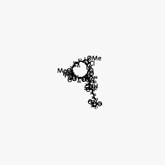 COc1cc2cc(c1Cl)N(C)C(=O)CC(OC(=O)[C@H](C)N(C)C(=O)C(CSC)NC(=O)CCCCCN1C(=O)C=CC1=O)C1(C)OC1C(C)C1CC(O)(NC(=O)O1)C(OC)/C=C/C=C(\C)C2